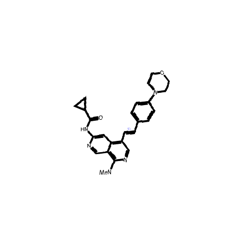 CNc1ncc(/C=C/c2ccc(N3CCOCC3)cc2)c2cc(NC(=O)C3CC3)ncc12